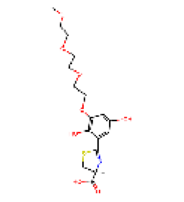 COCCOCCOCCOc1cc(O)cc(C2=N[C@@](C)(C(=O)O)CS2)c1O